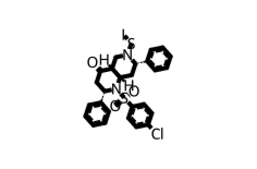 O=C1C[C@@H](c2ccccc2)N(S(=O)(=O)c2ccc(Cl)cc2)[C@H]2C[C@@H](c3ccccc3)N(SI)C[C@@H]12